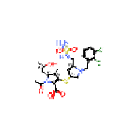 CC(=O)N1C(C(=O)O)=C(S[C@H]2C[C@@H](CNS(N)(=O)=O)N(Cc3cccc(Cl)c3Cl)C2)[C@H](C)[C@@H]1C[C@@H](C)O